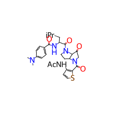 CC(=O)Nc1ccsc1C(=O)N1CC(=O)C2C1CCN2C(=O)C(CC(C)C)NC(=O)c1ccc(N(C)C)cc1